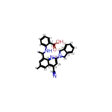 Cc1cc(C(C)Nc2ccccc2C(=O)O)c2nc(N3Cc4ccccc4C3)cc(C#N)c2c1